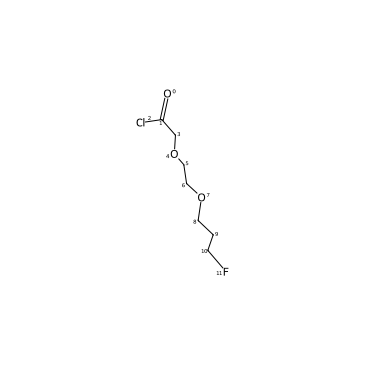 O=C(Cl)COCCOCCCF